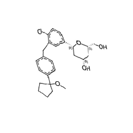 COC1(c2ccc(Cc3cc([C@H]4C[C@@H](O)C[C@@H](CO)O4)ccc3Cl)cc2)CCCC1